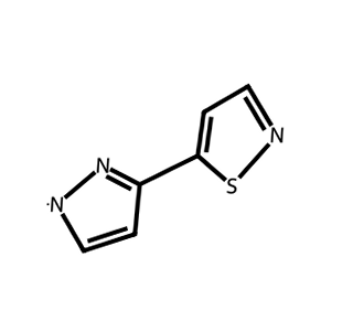 C1=CC(c2ccns2)=N[N]1